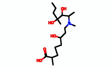 CCCC(C)(O)C(O)C(C)N(C)CCC(O)CCCC(C)C(=O)O